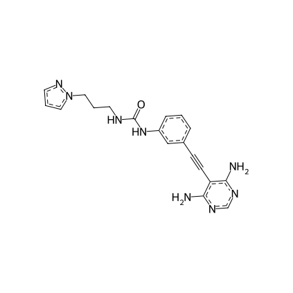 Nc1ncnc(N)c1C#Cc1cccc(NC(=O)NCCCn2cccn2)c1